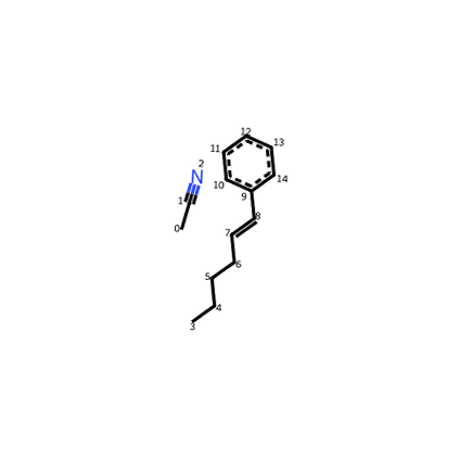 CC#N.CCCCC=Cc1ccccc1